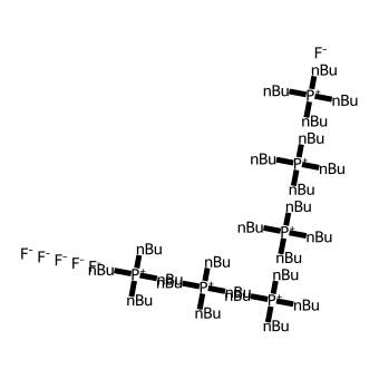 CCCC[P+](CCCC)(CCCC)CCCC.CCCC[P+](CCCC)(CCCC)CCCC.CCCC[P+](CCCC)(CCCC)CCCC.CCCC[P+](CCCC)(CCCC)CCCC.CCCC[P+](CCCC)(CCCC)CCCC.CCCC[P+](CCCC)(CCCC)CCCC.[F-].[F-].[F-].[F-].[F-].[F-]